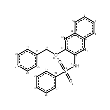 O=S(=O)(Nc1nc2ccccc2nc1OCc1ccncc1)c1ccccc1